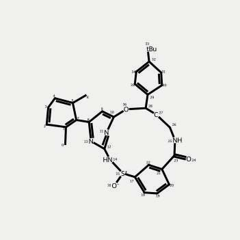 Cc1cccc(C)c1-c1cc2nc(n1)N[S+]([O-])c1cccc(c1)C(=O)NCCC(c1ccc(C(C)(C)C)cc1)O2